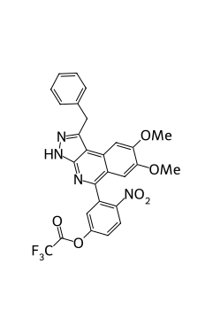 COc1cc2c(-c3cc(OC(=O)C(F)(F)F)ccc3[N+](=O)[O-])nc3[nH]nc(Cc4ccccc4)c3c2cc1OC